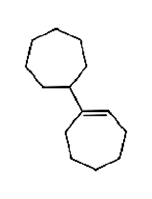 C1=C(C2CCCCCC2)CCCCC1